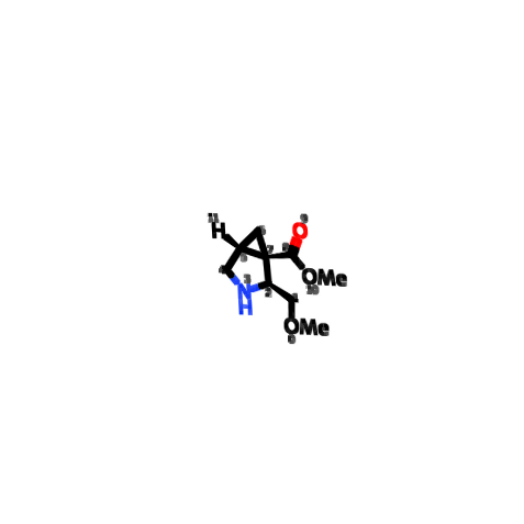 COC[C@H]1NC[C@@H]2C[C@@]21C(=O)OC